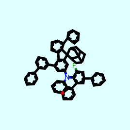 Fc1cc(-c2ccccc2)cc(-c2ccccc2)c1N(c1ccccc1)c1cc(-c2cccc(-c3ccccc3)c2)c2c(c1)C1(c3c(-c4ccccc4)cccc3-2)C2CC3CC(C2)CC1C3